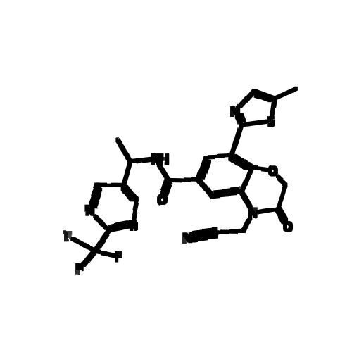 Cc1cnc(-c2cc(C(=O)NC(C)c3cnc(C(F)(F)F)nc3)cc3c2OCC(=O)N3CC#N)s1